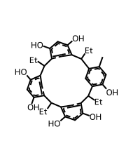 CCC1c2cc(c(O)cc2C)C(CC)c2cc(c(O)cc2O)C(CC)c2cc(c(O)cc2O)C(CC)c2cc1c(O)cc2O